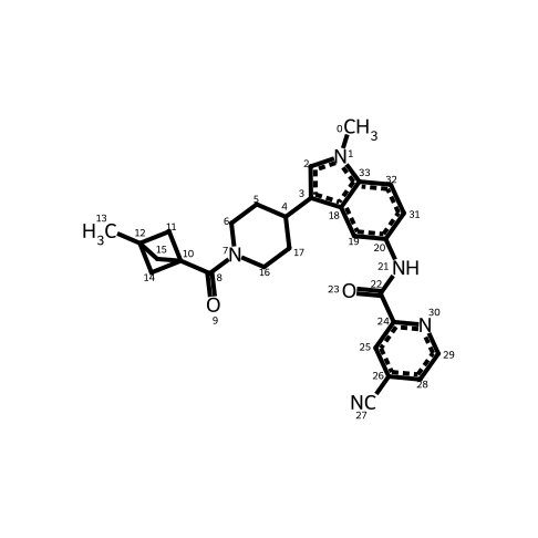 Cn1cc(C2CCN(C(=O)C34CC(C)(C3)C4)CC2)c2cc(NC(=O)c3cc(C#N)ccn3)ccc21